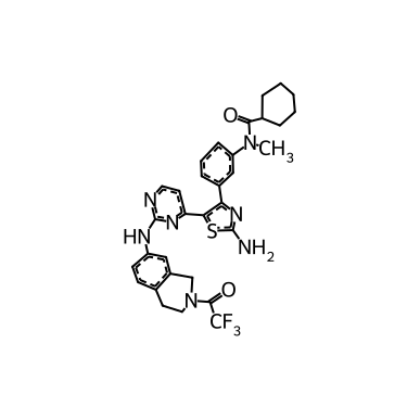 CN(C(=O)C1CCCCC1)c1cccc(-c2nc(N)sc2-c2ccnc(Nc3ccc4c(c3)CN(C(=O)C(F)(F)F)CC4)n2)c1